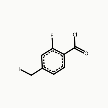 O=C(Cl)c1ccc(CI)cc1F